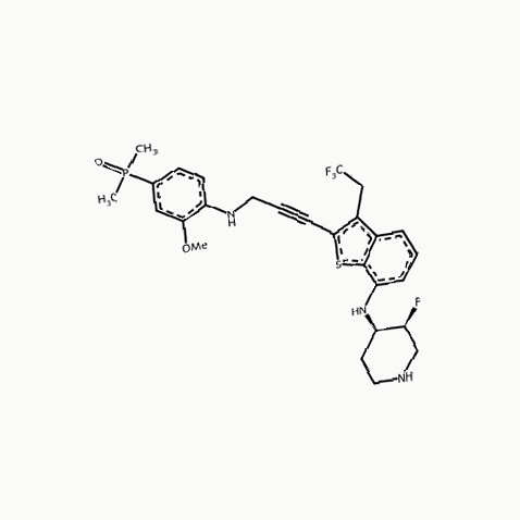 COc1cc(P(C)(C)=O)ccc1NCC#Cc1sc2c(N[C@@H]3CCNC[C@@H]3F)cccc2c1CC(F)(F)F